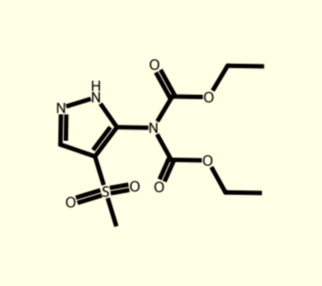 CCOC(=O)N(C(=O)OCC)c1[nH]ncc1S(C)(=O)=O